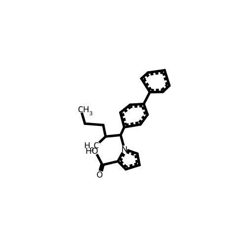 CCCC(C)C(c1ccc(-c2ccccc2)cc1)n1cccc1C(=O)O